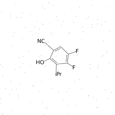 CC(C)c1c(O)c(C#N)cc(F)c1F